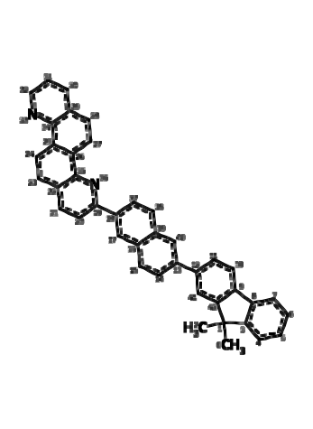 CC1(C)c2ccccc2-c2ccc(-c3ccc4cc(-c5ccc6ccc7c(ccc8cccnc87)c6n5)ccc4c3)cc21